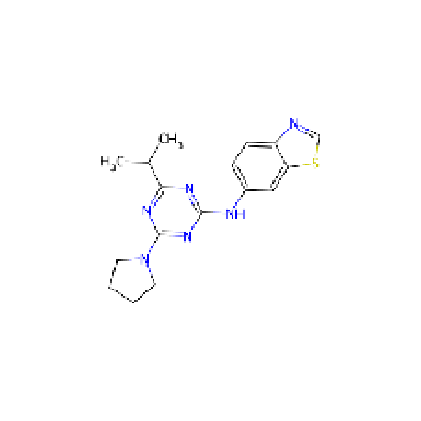 CC(C)c1nc(Nc2ccc3ncsc3c2)nc(N2CCCC2)n1